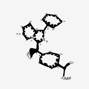 COC(=O)c1ccc(C(=O)c2nc(-c3ccccc3)c3ccccn23)cc1